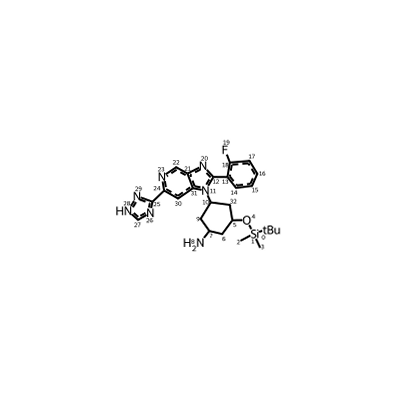 CC(C)(C)[Si](C)(C)OC1CC(N)CC(n2c(-c3ccccc3F)nc3cnc(-c4nc[nH]n4)cc32)C1